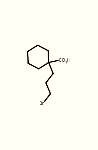 O=C(O)C1(CCCBr)CCCCC1